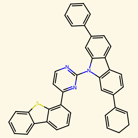 C1=CC(c2ccc3c4ccc(-c5ccccc5)cc4n(-c4nccc(-c5cccc6c5sc5ccccc56)n4)c3c2)=CCC1